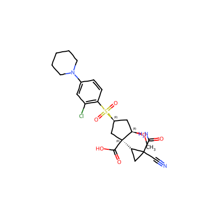 CO[C@@H]1C[C@H](S(=O)(=O)c2ccc(N3CCCCC3)cc2Cl)C[C@@]1(C(=O)O)C1CC1(C#N)C(N)=O